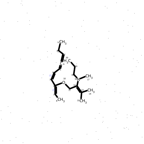 C/C=C(/C=C\C=C=CCC)OCC(=C(C)C)N(C)CCC